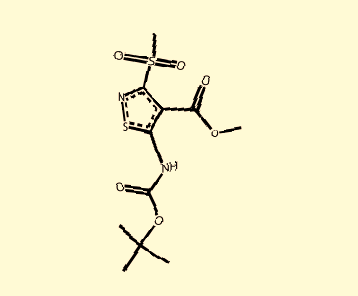 COC(=O)c1c(S(C)(=O)=O)nsc1NC(=O)OC(C)(C)C